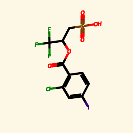 O=C(OC(CS(=O)(=O)O)C(F)(F)F)c1ccc(I)cc1Cl